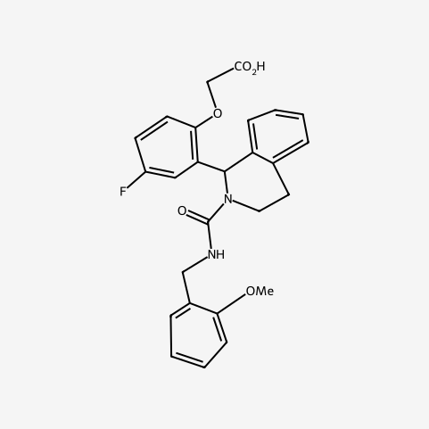 COc1ccccc1CNC(=O)N1CCc2ccccc2C1c1cc(F)ccc1OCC(=O)O